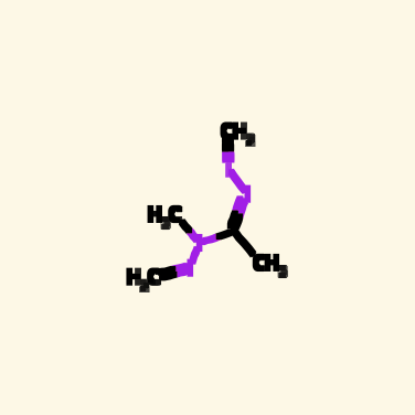 C=I/I=C(/C)I(C)I=C